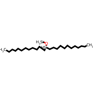 CCCCCCCCCCCC[SiH](CCCCCCCCCCCC)O[SiH3]